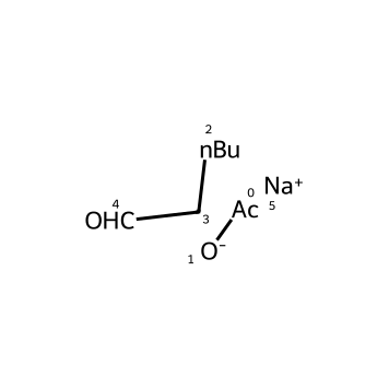 CC(=O)[O-].CCCCCC=O.[Na+]